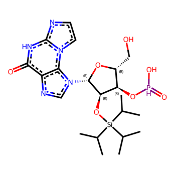 CC(C)[Si](O[C@@H]1[C@H](O[PH](=O)O)[C@@H](CO)O[C@H]1n1cnc2c(=O)[nH]c3nccn3c21)(C(C)C)C(C)C